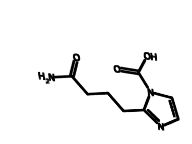 NC(=O)CCCc1nccn1C(=O)O